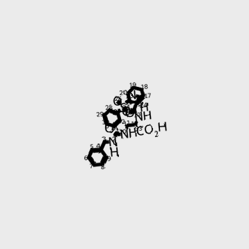 O=C(NCc1ccccc1)NC[C@H](NC(=O)[C@@H]1C2CCC(CC2)N1S(=O)(=O)c1ccccc1)C(=O)O